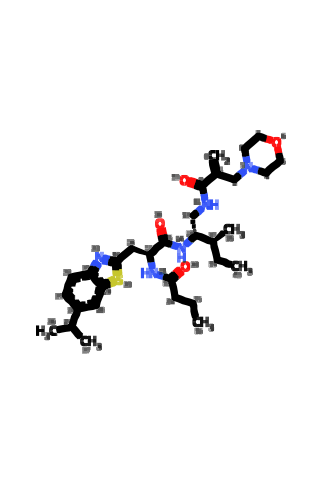 C=C(CN1CCOCC1)C(=O)NC[C@@H](NC(=O)[C@H](Cc1nc2ccc(C(C)C)cc2s1)NC(=O)CCC)[C@@H](C)CC